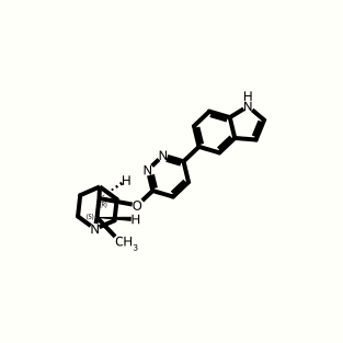 C[C@H]1[C@H](Oc2ccc(-c3ccc4[nH]ccc4c3)nn2)C2CCN1CC2